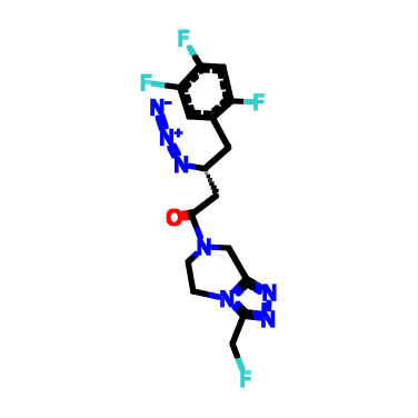 [N-]=[N+]=N[C@@H](CC(=O)N1CCn2c(CF)nnc2C1)Cc1cc(F)c(F)cc1F